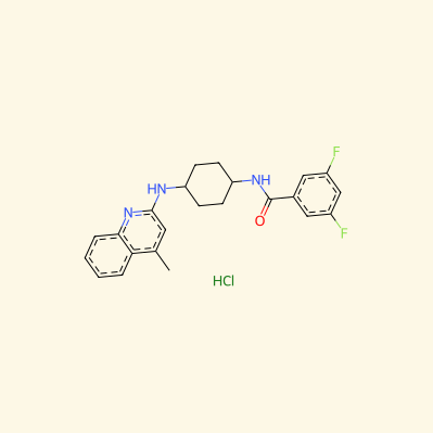 Cc1cc(NC2CCC(NC(=O)c3cc(F)cc(F)c3)CC2)nc2ccccc12.Cl